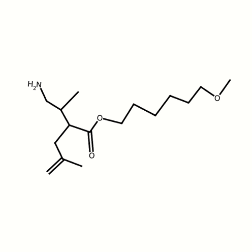 C=C(C)CC(C(=O)OCCCCCCOC)C(C)CN